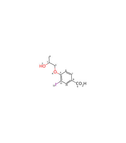 CC(O)COc1ccc(C(=O)O)cc1I